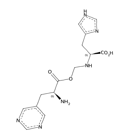 N[C@@H](Cc1cncnc1)C(=O)OCN[C@@H](Cc1c[nH]cn1)C(=O)O